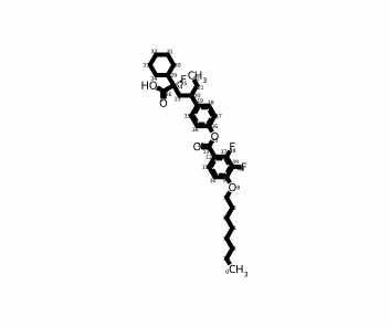 CCCCCCCCOc1ccc(C(=O)Oc2ccc(C(CC)C[C@@](F)(C(=O)O)C3CCCCC3)cc2)c(F)c1F